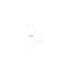 CC(C)C(N)C(=O)OC(C)(C)C.Cl